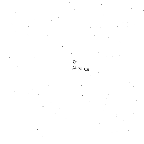 [Al].[Ce].[Cr].[Si]